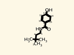 CC(C)(C)CCNC(=O)c1ccc(O)cc1